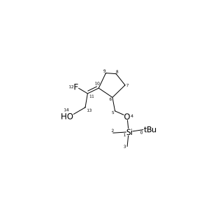 CC(C)(C)[Si](C)(C)OCC1CCC/C1=C(\F)CO